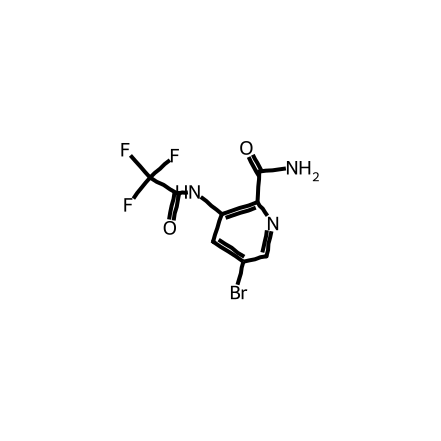 NC(=O)c1ncc(Br)cc1NC(=O)C(F)(F)F